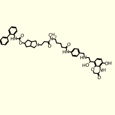 CN(CCCCC(=O)Nc1ccc(CNC[C@H](O)c2ccc(O)c3c2OCC(=O)N3)cc1)C(=O)CCN1CC2CC(OC(=O)Nc3ccccc3-c3ccccc3)CC2C1